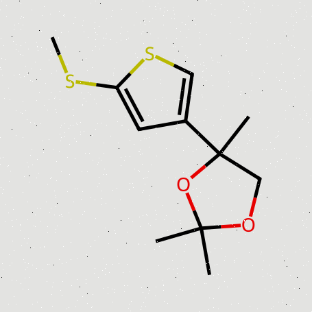 CSc1cc(C2(C)COC(C)(C)O2)cs1